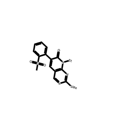 CCn1c(=O)c(-c2ccccc2S(C)(=O)=O)cc2cnc(SC)nc21